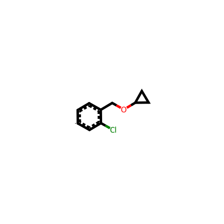 Clc1c[c]ccc1COC1CC1